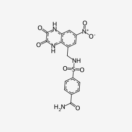 NC(=O)c1ccc(S(=O)(=O)NCc2cc([N+](=O)[O-])cc3[nH]c(=O)c(=O)[nH]c23)cc1